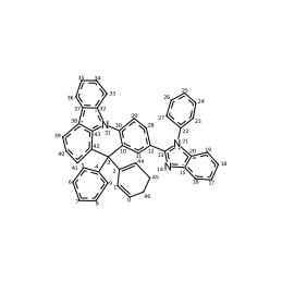 C1=CC(C2(c3ccccc3)c3cc(-c4nc5ccccc5n4-c4ccccc4)ccc3-n3c4ccccc4c4cccc2c43)=CCC1